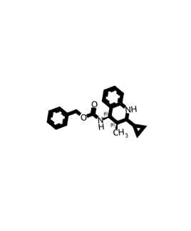 C[C@@H]1C(C2CC2)Nc2ccccc2[C@@H]1NC(=O)OCc1ccccc1